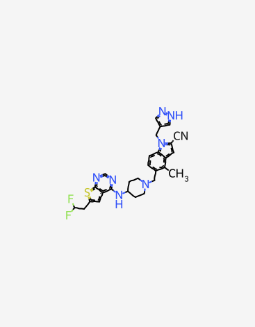 Cc1c(CN2CCC(Nc3ncnc4sc(CC(F)F)cc34)CC2)ccc2c1cc(C#N)n2Cc1cn[nH]c1